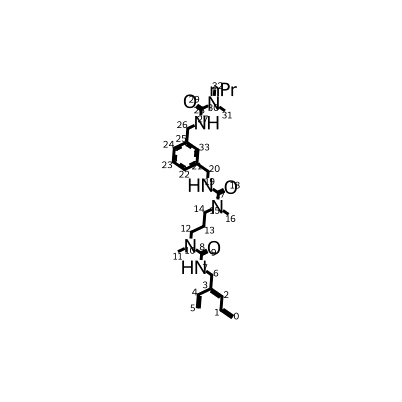 C=C/C=C(\C=C)CNC(=O)N(C)CCCN(C)C(=O)NCc1cccc(CNC(=O)N(C)CCC)c1